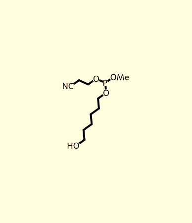 COP(OCCC#N)OCCCCCCO